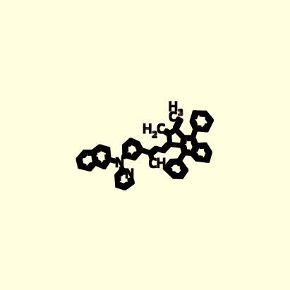 C=C1/C(=C\C)c2c(c(-c3ccccc3)c3ccccc3c2-c2ccccc2)/C1=C/C=C(\C)c1cccc(N(c2ccc3ccccc3c2)c2ccccn2)c1